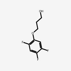 OCCCOc1cc(F)c(F)cc1F